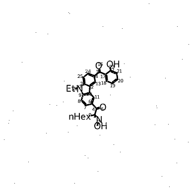 CCCCCC/C(=N\O)C(=O)c1ccc2c(c1)c1cc(C(=O)c3ccccc3O)ccc1n2CC